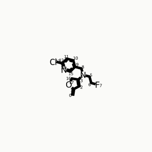 C=C1C=C(N(CCF)Cc2ccc(Cl)nc2)CO1